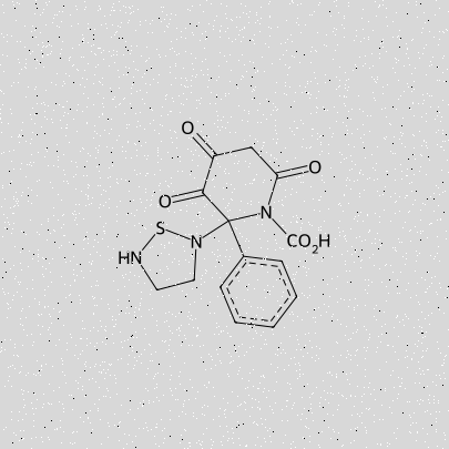 O=C1CC(=O)N(C(=O)O)C(c2ccccc2)(N2CCNS2)C1=O